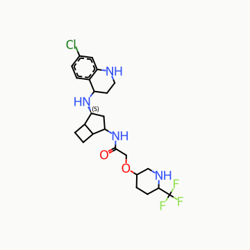 O=C(COC1CCC(C(F)(F)F)NC1)NC1C[C@H](NC2CCNc3cc(Cl)ccc32)C2CCC12